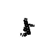 CC(C)Cc1ccc2c(CC(C)(C)C)c3c(cc2c1)-c1nccc2c1c(cc1cccc(CC(C)(C)C(F)(F)F)c12)S3